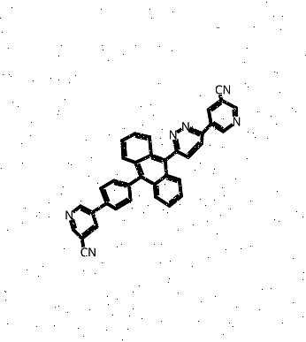 N#Cc1cncc(-c2ccc(-c3c4ccccc4c(-c4ccc(-c5cncc(C#N)c5)nn4)c4ccccc34)cc2)c1